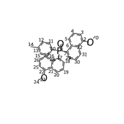 COc1cccc2c(P(=O)(c3ccc(C)cc3)c3cccc4c(OC)cccc34)cccc12